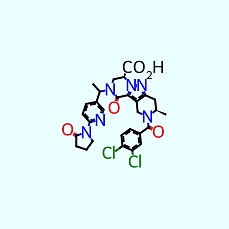 CC(c1ccc(N2CCCC2=O)nc1)N1C[C@@H](C(=O)O)n2nc3c(c2C1=O)CN(C(=O)c1ccc(Cl)c(Cl)c1)[C@H](C)C3